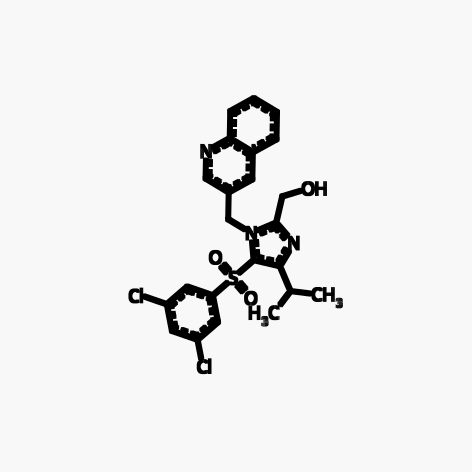 CC(C)c1nc(CO)n(Cc2cnc3ccccc3c2)c1S(=O)(=O)c1cc(Cl)cc(Cl)c1